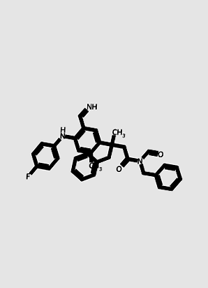 Cc1cc(Nc2ccc(F)cc2)c(C=N)cc1C(C)(CC(=O)N(C=O)Cc1ccccc1)Cc1ccccc1